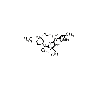 CC[C@@H]1C[C@@H](N(C)c2nc(CO)c(F)c(Nc3cc(C)[nH]n3)n2)C[C@H](CC)N1